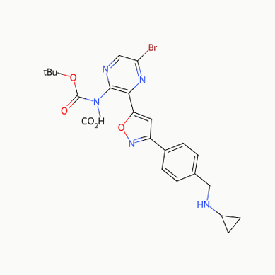 CC(C)(C)OC(=O)N(C(=O)O)c1ncc(Br)nc1-c1cc(-c2ccc(CNC3CC3)cc2)no1